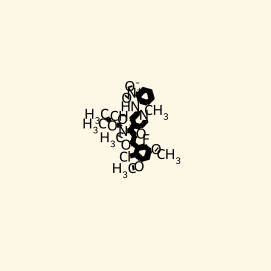 COc1cc(OC)c(Cl)c(C(=O)c2oc3cnc(Nc4c(C)cccc4[N+](=O)[O-])cc3c2N(C)C(=O)OC(C)(C)C)c1F